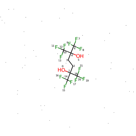 OC(CCC(O)(C(F)(F)F)C(F)(F)F)(C(F)(F)F)C(F)(F)F